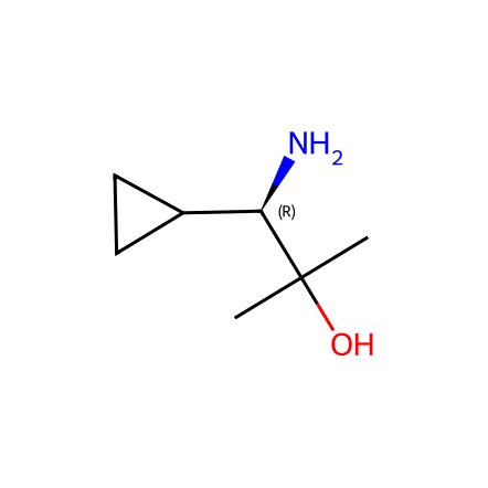 CC(C)(O)[C@H](N)C1CC1